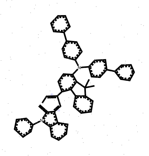 C=c1/c(=C\C(=C/C)c2ccc(N(c3ccc(-c4ccccc4)cc3)c3ccc(-c4ccccc4)cc3)c3c2-c2ccccc2C3(C)C)c2ccccc2n1-c1ccccc1